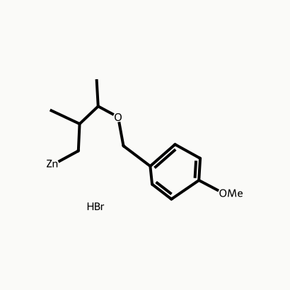 Br.COc1ccc(COC(C)C(C)[CH2][Zn])cc1